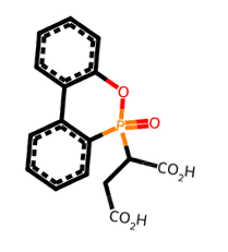 O=C(O)CC(C(=O)O)P1(=O)Oc2ccccc2-c2ccccc21